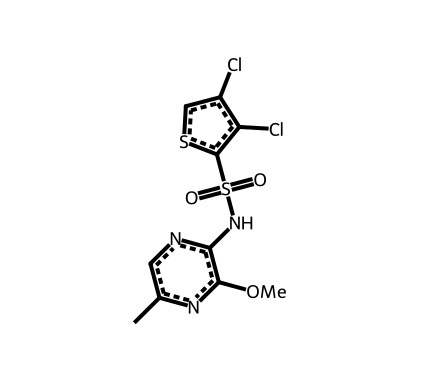 COc1nc(C)cnc1NS(=O)(=O)c1scc(Cl)c1Cl